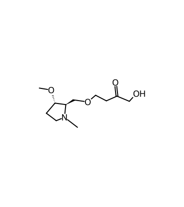 CO[C@H]1CCN(C)[C@@H]1COCCC(=O)CO